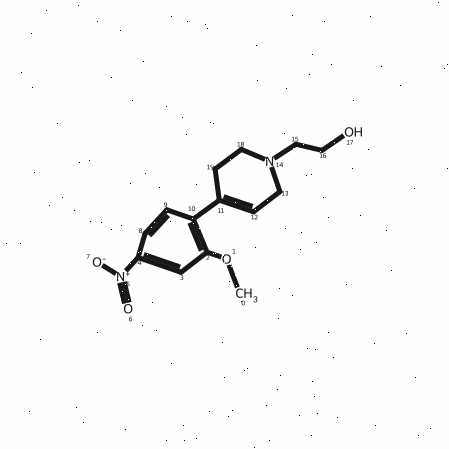 COc1cc([N+](=O)[O-])ccc1C1=CCN(CCO)CC1